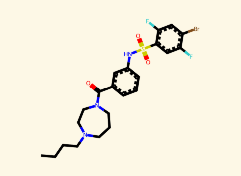 CCCCN1CCCN(C(=O)c2cccc(NS(=O)(=O)c3cc(F)c(Br)cc3F)c2)CC1